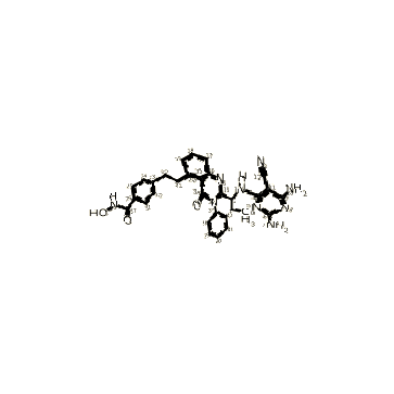 CCC(Nc1nc(N)nc(N)c1C#N)c1nc2cccc(CCc3ccc(C(=O)NO)cc3)c2c(=O)n1-c1ccccc1